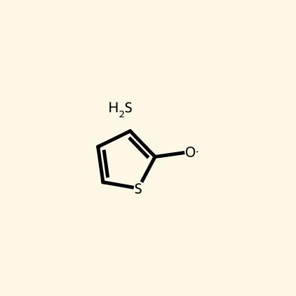 S.[O]c1cccs1